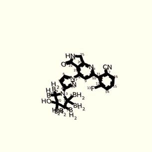 BC1(B)N(c2ccn(-c3cc(-c4c(F)cccc4C#N)nc4c3C(=O)NC4)n2)C(B)(B)C(B)(O)C1(B)B